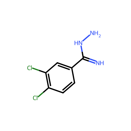 N=C(NN)c1ccc(Cl)c(Cl)c1